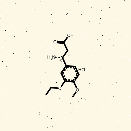 CCOc1cc([C@H](N)CC(=O)O)ccc1OC.Cl